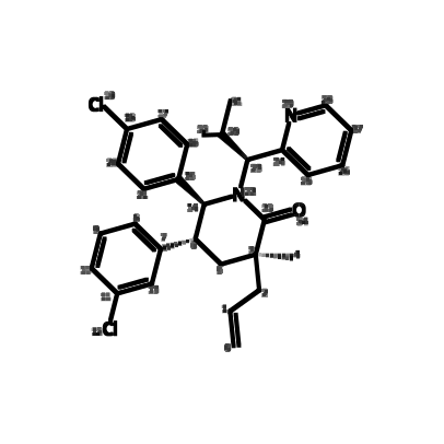 C=CC[C@@]1(C)C[C@H](c2cccc(Cl)c2)[C@@H](c2ccc(Cl)cc2)N([C@H](c2ccccn2)C(C)C)C1=O